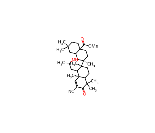 COC(=O)[C@]12CCC(C)(C)CC1C[C@](C)([C@]1(C)CCC3C(C)(C)C(=O)C(C#N)=C[C@]3(C)[C@H]1C[C@H](C)O)CC2